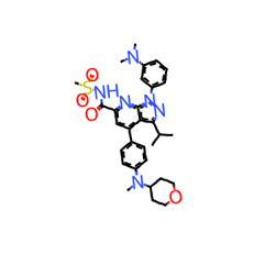 CC(C)c1nn(-c2cccc(N(C)C)c2)c2nc(C(=O)NS(C)(=O)=O)cc(-c3ccc(N(C)C4CCOCC4)cc3)c12